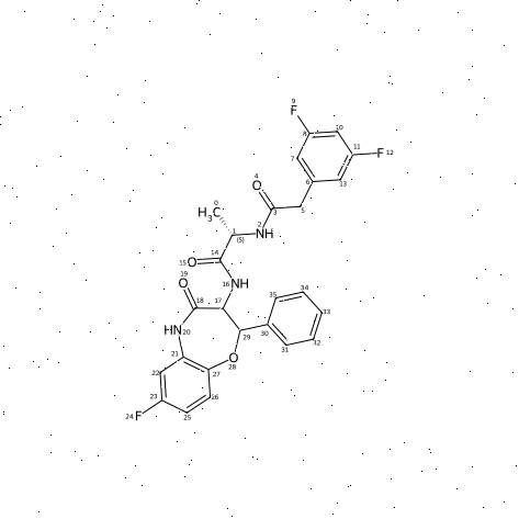 C[C@H](NC(=O)Cc1cc(F)cc(F)c1)C(=O)NC1C(=O)Nc2cc(F)ccc2OC1c1ccccc1